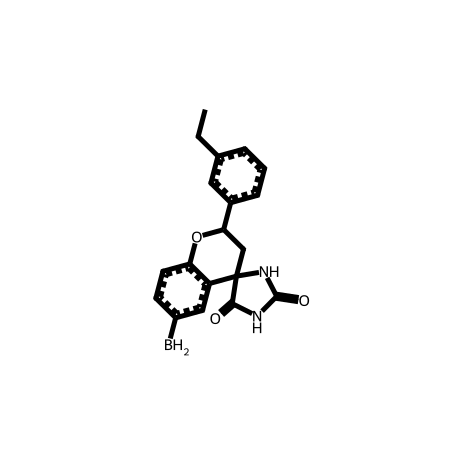 Bc1ccc2c(c1)C1(CC(c3cccc(CC)c3)O2)NC(=O)NC1=O